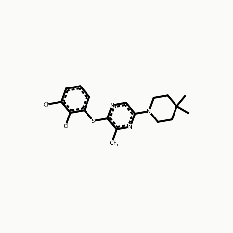 CC1(C)CCN(c2cnc(Sc3cccc(Cl)c3Cl)c(C(F)(F)F)n2)CC1